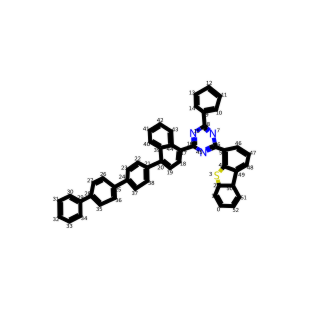 C1=CC2Sc3c(-c4nc(-c5ccccc5)nc(-c5ccc(-c6ccc(-c7ccc(-c8ccccc8)cc7)cc6)c6ccccc56)n4)cccc3C2C=C1